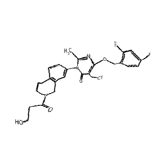 Cc1nc(OCc2ccc(F)cc2F)c(Cl)c(=O)n1-c1ccc2c(c1)CN(C(=O)CCO)CC2